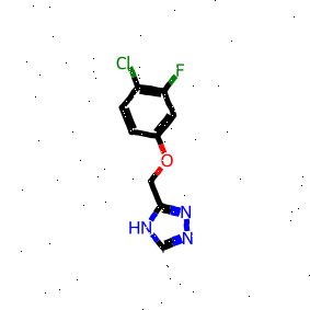 Fc1cc(OCc2nn[c][nH]2)ccc1Cl